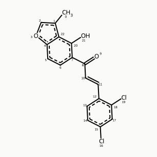 Cc1coc2ccc(C(=O)/C=C/c3ccc(Cl)cc3Cl)c(O)c12